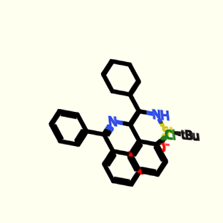 CC(C)(C)[S@@+]([O-])NC(C1CCCCC1)C(N=C(c1ccccc1)c1ccccc1)c1ccccc1Cl